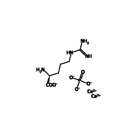 N=C(N)NCCC[C@H](N)C(=O)[O-].O=P([O-])([O-])[O-].[Ca+2].[Ca+2]